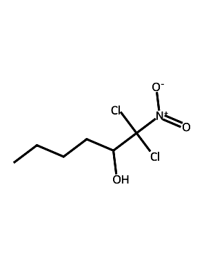 CCCCC(O)C(Cl)(Cl)[N+](=O)[O-]